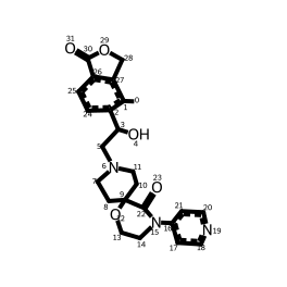 Cc1c(C(O)CN2CCC3(CC2)OCCN(c2ccncc2)C3=O)ccc2c1COC2=O